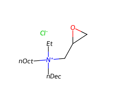 CCCCCCCCCC[N+](CC)(CCCCCCCC)CC1CO1.[Cl-]